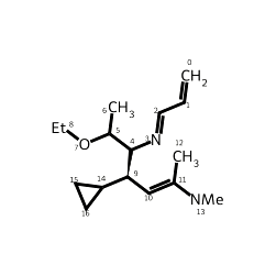 C=C/C=N/C(C(C)OCC)[C@@H](/C=C(\C)NC)C1CC1